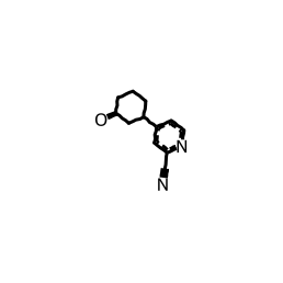 N#Cc1cc(C2CCCC(=O)C2)ccn1